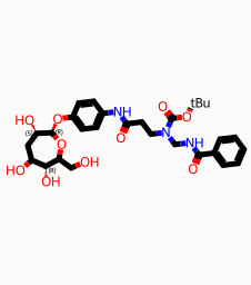 CC(C)(C)OC(=O)N(CCC(=O)Nc1ccc(O[C@H]2OC(CO)[C@H](O)C(O)C[C@@H]2O)cc1)CNC(=O)c1ccccc1